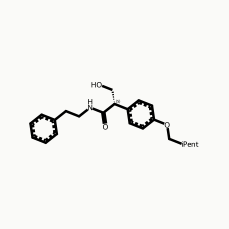 CCCC(C)COc1ccc([C@@H](CO)C(=O)NCCc2ccccc2)cc1